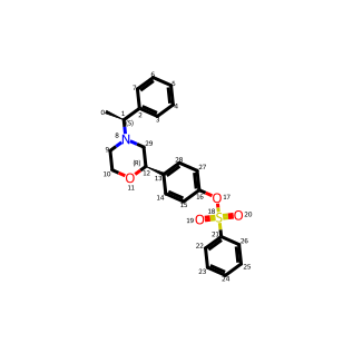 C[C@@H](c1ccccc1)N1CCO[C@H](c2ccc(OS(=O)(=O)c3ccccc3)cc2)C1